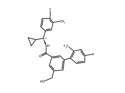 Cc1cc([C@@H](NC(=O)c2cc(CO)cc(-c3ccc(F)cc3C(F)(F)F)c2)C2CC2)ccc1F